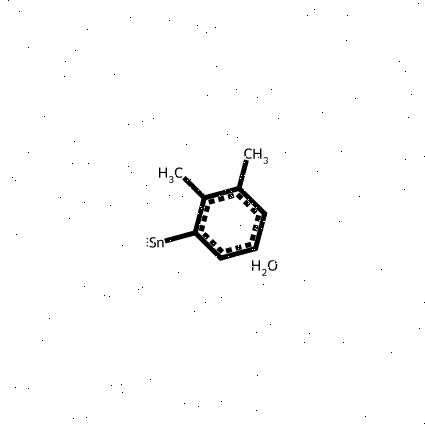 Cc1ccc[c]([Sn])c1C.O